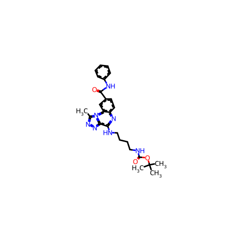 Cc1nnc2c(NCCCCNC(=O)OC(C)(C)C)nc3ccc(C(=O)Nc4ccccc4)cc3n12